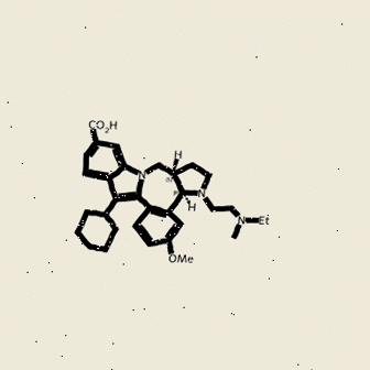 CCN(C)CCN1CC[C@H]2Cn3c(c(C4CCCCC4)c4ccc(C(=O)O)cc43)-c3ccc(OC)cc3[C@@H]21